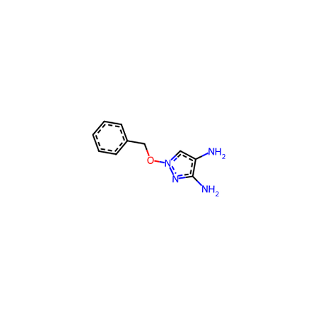 Nc1cn(OCc2ccccc2)nc1N